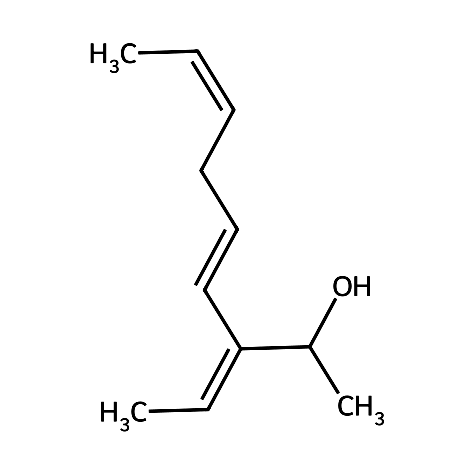 C/C=C\CC=C/C(=C\C)C(C)O